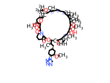 [2H]C([2H])([2H])O[C@H]1C[C@@H]2CC[C@@H](C)[C@@](O)(O2)C(=O)C(=O)N2CCCC[C@H]2C(=O)O[C@H]([C@H](C)C[C@@H]2CC[C@H](n3cnnn3)[C@H](OC)C2)CC(=O)[C@H](C([2H])([2H])[2H])/C=C(\C)[C@@H](O)[C@@H](OC)C(=O)[C@H](C)C([2H])(C)[C@]([2H])(C)/C=C/C=C/C=C/1C